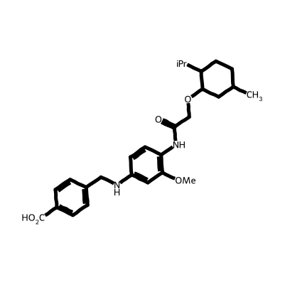 COc1cc(NCc2ccc(C(=O)O)cc2)ccc1NC(=O)COC1CC(C)CCC1C(C)C